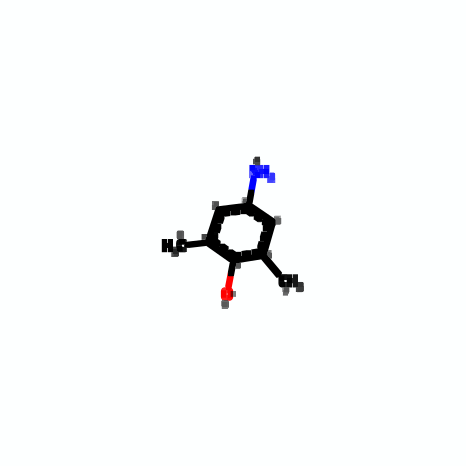 Cc1cc(N)cc(C)c1[O]